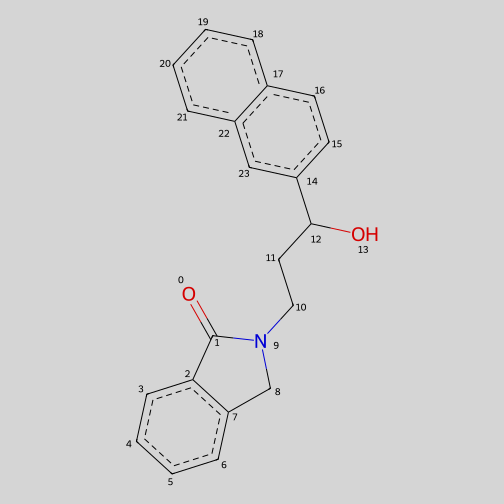 O=C1c2ccccc2CN1CCC(O)c1ccc2ccccc2c1